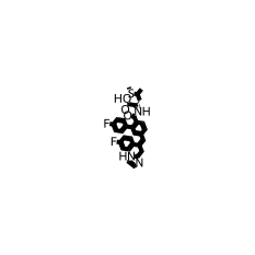 CSC(C)C[C@H](NC(=O)c1ccc(C=C(Cc2ncc[nH]2)c2ccc(F)cc2)cc1-c1ccc(F)cc1)C(=O)O